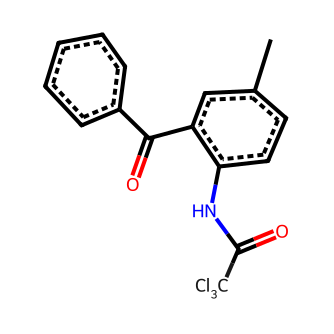 Cc1ccc(NC(=O)C(Cl)(Cl)Cl)c(C(=O)c2ccccc2)c1